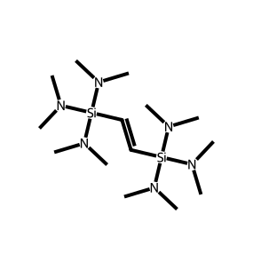 CN(C)[Si](/C=C/[Si](N(C)C)(N(C)C)N(C)C)(N(C)C)N(C)C